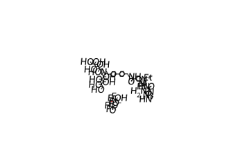 CCn1c(CNC(=O)c2nc3cc[nH]c3nc2N)[n+](CC)c2ccc(C(=O)NCCc3ccc(-c4ccc(CCN(CC(O)C(O)C(O)C(O)CO)CC(O)C(O)C(O)C(O)CO)cc4)cc3)cc21.O=C(O)C(F)(F)F.O=C([O-])C(F)(F)F